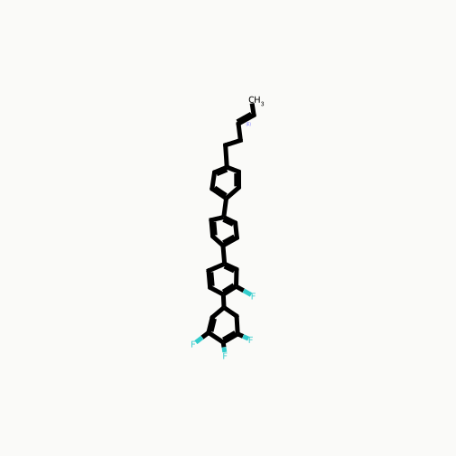 C/C=C/CCc1ccc(-c2ccc(-c3ccc(C4C=C(F)C(F)=C(F)C4)c(F)c3)cc2)cc1